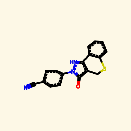 N#Cc1ccc(-n2[nH]c3c(c2=O)CSc2ccccc2-3)cc1